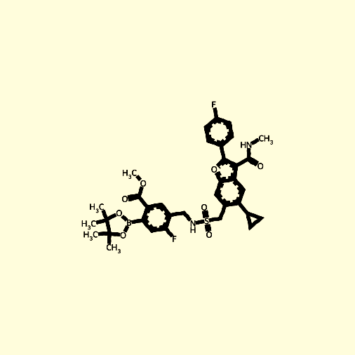 CNC(=O)c1c(-c2ccc(F)cc2)oc2cc(CS(=O)(=O)NCc3cc(C(=O)OC)c(B4OC(C)(C)C(C)(C)O4)cc3F)c(C3CC3)cc12